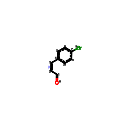 O=C/C=C\c1ccc(Br)cc1